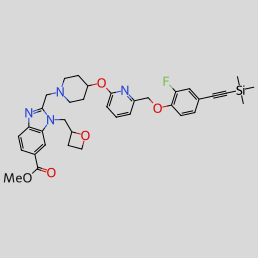 COC(=O)c1ccc2nc(CN3CCC(Oc4cccc(COc5ccc(C#C[Si](C)(C)C)cc5F)n4)CC3)n(CC3CCO3)c2c1